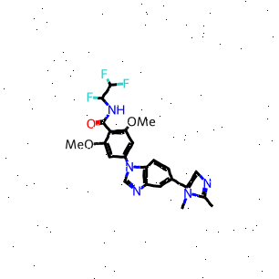 COc1cc(-n2cnc3cc(-c4cnc(C)n4C)ccc32)cc(OC)c1C(=O)NC(F)C(F)F